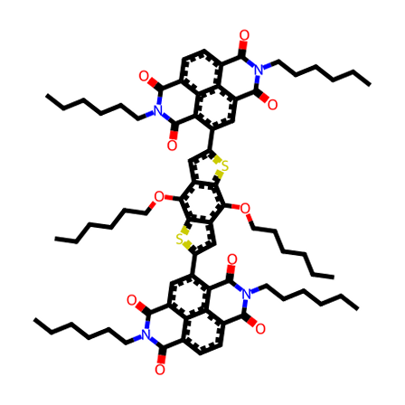 CCCCCCOc1c2cc(-c3cc4c5c(ccc6c5c3C(=O)N(CCCCCC)C6=O)C(=O)N(CCCCCC)C4=O)sc2c(OCCCCCC)c2cc(-c3cc4c5c(ccc6c5c3C(=O)N(CCCCCC)C6=O)C(=O)N(CCCCCC)C4=O)sc12